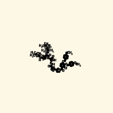 COc1ccc(COc2ccc(C(=O)N3CC[C@@H](c4ncc(C(=O)NC[C@H]5NC(=O)[C@H]5NC(=O)/C(=N\OC(C)(C)C(=O)OC(C)(C)C)c5csc(NC(=O)OC(C)(C)C)n5)s4)C3)c(Cl)c2OCc2ccc(OC)cc2)cc1